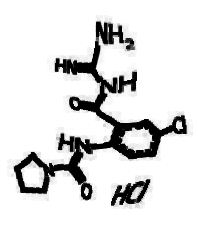 Cl.N=C(N)NC(=O)c1cc(Cl)ccc1NC(=O)N1CCCC1